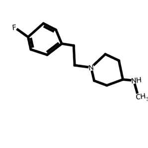 CNC1CCN(CCc2ccc(F)cc2)CC1